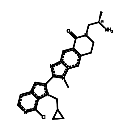 C[C@@H](N)CN1CCc2cc3c(cc2C1=O)nc(-c1cc2ccnc(Cl)c2n1CC1CC1)n3C